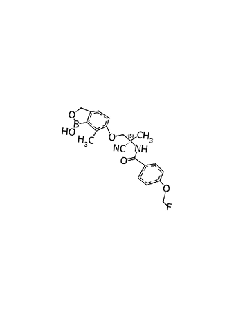 Cc1c(OC[C@](C)(C#N)NC(=O)c2ccc(OCF)cc2)ccc2c1B(O)OC2